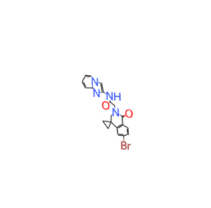 O=C(CN1CC2(CC2)c2cc(Br)ccc2C1=O)Nc1cn2ccccc2n1